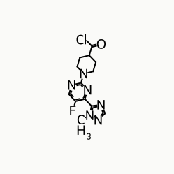 Cn1ncnc1-c1nc(N2CCC(C(=O)Cl)CC2)ncc1F